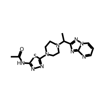 CC(=O)Nc1nnc(N2CCN(C(C)c3nc4ncccn4n3)CC2)s1